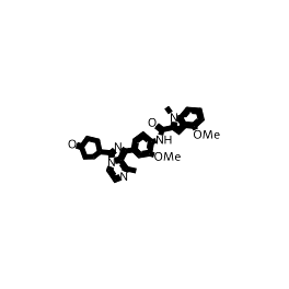 COc1cc(-c2nc(C3CCC(=O)CC3)n3ccnc(C)c23)ccc1NC(=O)c1cc2c(OC)cccc2n1C